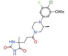 COc1cc(N2CCN(C(=O)CCC3(C)NC(=O)NC3=O)C[C@@H]2C)cc(F)c1Cl